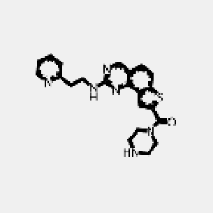 O=C(c1cc2c(ccc3cnc(NCCc4ccccn4)nc32)s1)N1CCNCC1